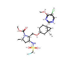 COC(=O)N1[C@H](C)C[C@H](NS(=O)(=O)CF)[C@@H]1CO[C@H]1CC[C@@]2(c3ncc(Cl)c(OC)n3)C[C@H]2C1